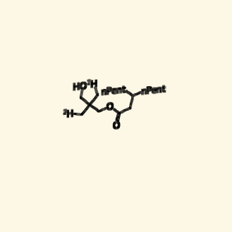 [2H]CC(C[2H])(CO)COC(=O)CC(CCCCC)CCCCC